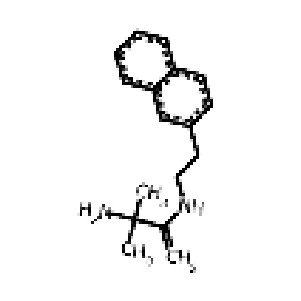 C=C(NCCc1ccc2ccccc2c1)C(C)(C)N